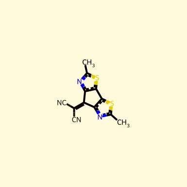 Cc1nc2c(s1)-c1sc(C)nc1C2=C(C#N)C#N